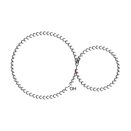 OC1CCCCCCCCCCCCCCCCCCCCCCCCCCCCCCCCCCCCCCCCCCCCCCCCCCCC2(CCCCCCCCCCCCCCCCCCCCCCCCCCCCCCCCCCCC3(C2)OCCO3)CCCCC1